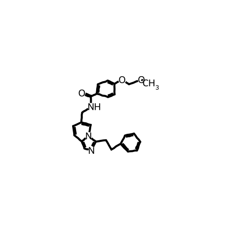 COCOc1ccc(C(=O)NCc2ccc3cnc(CCc4ccccc4)n3c2)cc1